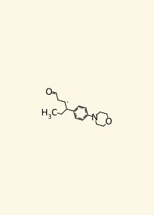 CCC([CH]CC=O)c1ccc(N2CCOCC2)cc1